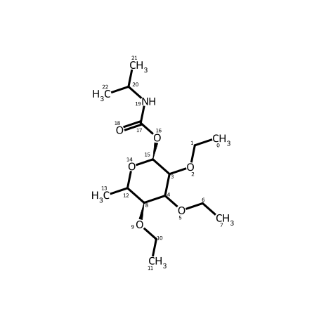 CCOC1C(OCC)[C@@H](OCC)C(C)O[C@H]1OC(=O)NC(C)C